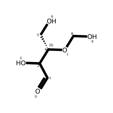 O=CC(O)[C@H](CO)OCO